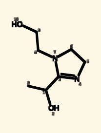 CC(O)C1=NCCN1CCO